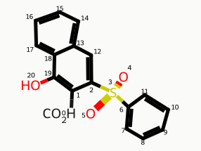 O=C(O)c1c(S(=O)(=O)c2ccccc2)cc2ccccc2c1O